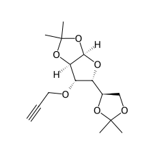 C#CCO[C@@H]1[C@H]2OC(C)(C)O[C@H]2O[C@@H]1[C@H]1COC(C)(C)O1